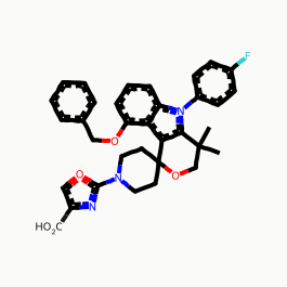 CC1(C)COC2(CCN(c3nc(C(=O)O)co3)CC2)c2c1n(-c1ccc(F)cc1)c1cccc(OCc3ccccc3)c21